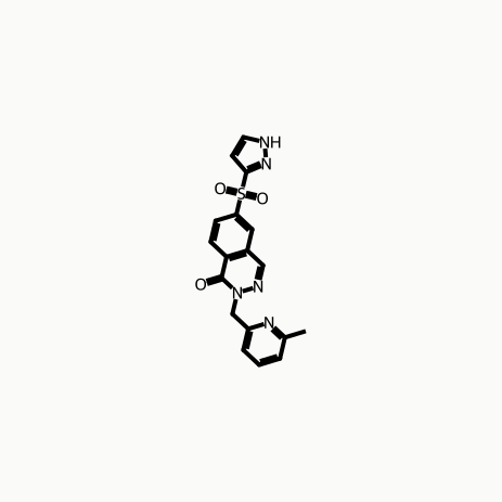 Cc1cccc(Cn2ncc3cc(S(=O)(=O)c4cc[nH]n4)ccc3c2=O)n1